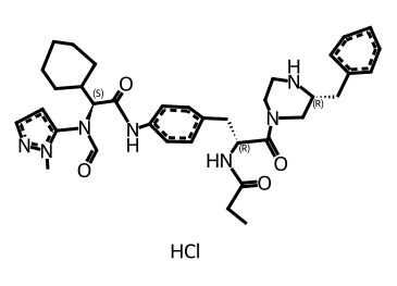 CCC(=O)N[C@H](Cc1ccc(NC(=O)[C@H](C2CCCCC2)N(C=O)c2ccnn2C)cc1)C(=O)N1CCN[C@H](Cc2ccccc2)C1.Cl